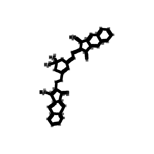 C=C1/C(=C/C=C2/C=C(CCC3=C(C)c4cc5ccccc5cc4C3=O)CC(C)(C)C2)C(=O)c2cc3ccccc3cc21